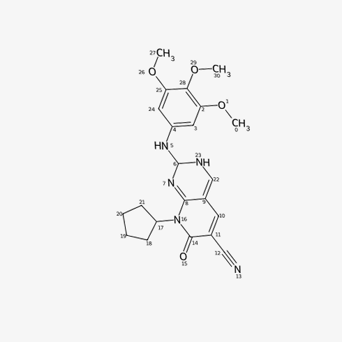 COc1cc(NC2N=c3c(cc(C#N)c(=O)n3C3CCCC3)=CN2)cc(OC)c1OC